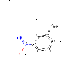 COc1cccc([N+](=N)[O-])c1